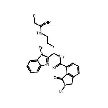 CCN1Cc2cccc(C(=O)N[C@@H](CCCNC(=N)CF)c3nc4ccccc4n3CC)c2C1=O